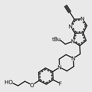 C#Cc1ncc2cc(CN3CCN(c4ccc(OCCO)cc4F)CC3)n(CC(C)(C)C)c2n1